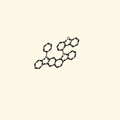 c1ccc(-n2c3ccccc3c3cc4ccc5c6ccccc6n(-c6cccc7oc8ccccc8c67)c5c4cc32)cc1